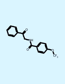 O=C(CNC(=O)c1ccc(OC(F)(F)F)cc1)c1ccccc1